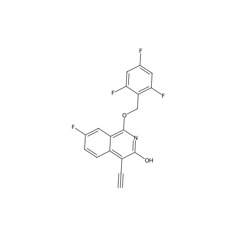 C#Cc1c(O)nc(OCc2c(F)cc(F)cc2F)c2cc(F)ccc12